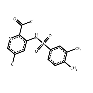 Cc1ccc(S(=O)(=O)Nc2cc(Cl)cnc2C(=O)Cl)cc1C(F)(F)F